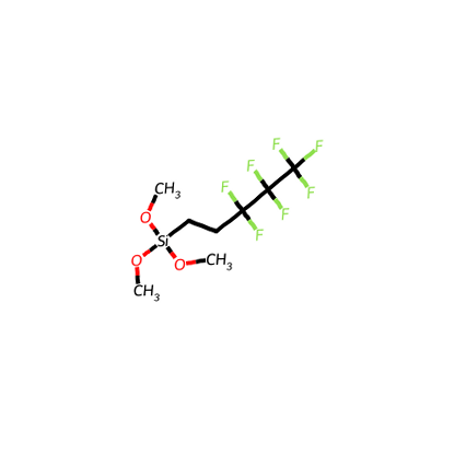 CO[Si](CCC(F)(F)C(F)(F)C(F)(F)F)(OC)OC